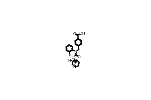 O=C(O)c1ccc(CN(C(=O)O[C@H]2CN3CCC2CC3)c2ccccc2F)cc1